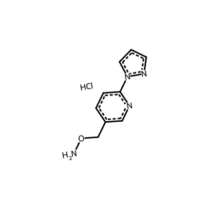 Cl.NOCc1ccc(-n2cccn2)nc1